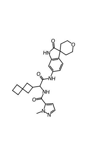 Cn1nccc1C(=O)NC(C(=O)Nc1ccc2c(c1)NC(=O)C21CCOCC1)C1CC2(CCC2)C1